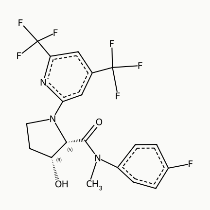 CN(C(=O)[C@@H]1[C@H](O)CCN1c1cc(C(F)(F)F)cc(C(F)(F)F)n1)c1ccc(F)cc1